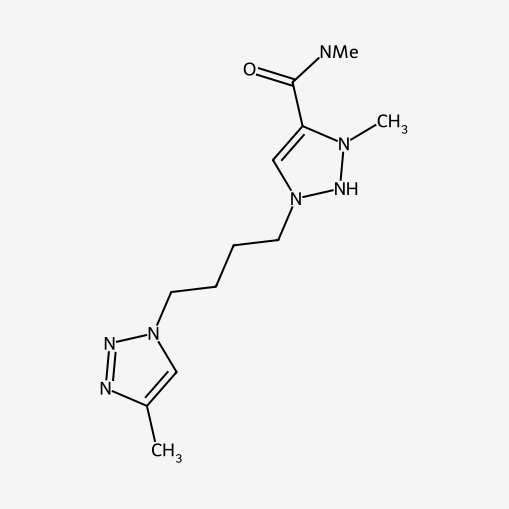 CNC(=O)C1=CN(CCCCn2cc(C)nn2)NN1C